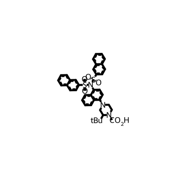 CC(C)(C)C1CN(c2ccc(N(S(=O)(=O)c3ccc4ccccc4c3)S(=O)(=O)c3ccc4ccccc4c3)c3ccccc23)CCN1C(=O)O